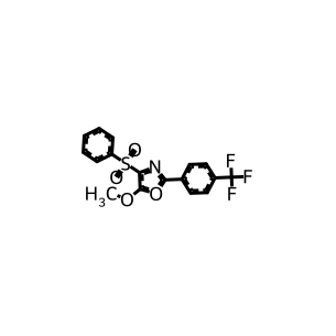 COc1oc(-c2ccc(C(F)(F)F)cc2)nc1S(=O)(=O)c1ccccc1